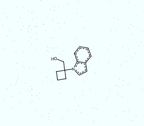 OCC1(n2ccc3ccccc32)CCC1